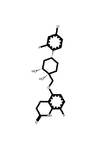 O=C1CCc2c(OC[C@]3(O)CC[C@@H](c4ccc(Cl)cc4F)C[C@H]3O)ccc(F)c2N1